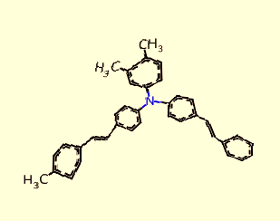 Cc1ccc(C=Cc2ccc(N(c3ccc(C=Cc4ccccc4)cc3)c3ccc(C)c(C)c3)cc2)cc1